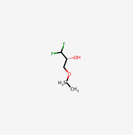 C[SiH2]OC[C@@H](O)C(F)F